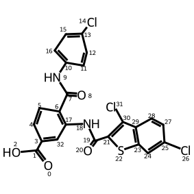 O=C(O)c1ccc(C(=O)Nc2ccc(Cl)cc2)c(NC(=O)c2sc3cc(Cl)ccc3c2Cl)c1